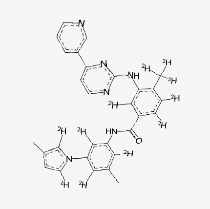 [2H]c1c(C)c([2H])c(-n2c([2H])cc(C)c2[2H])c([2H])c1NC(=O)c1c([2H])c([2H])c(C([2H])([2H])[2H])c(Nc2nccc(-c3cccnc3)n2)c1[2H]